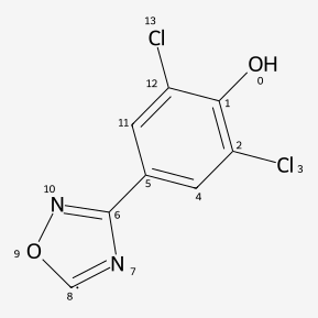 Oc1c(Cl)cc(-c2n[c]on2)cc1Cl